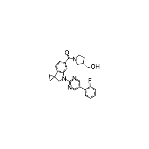 O=C(c1ccc2c(c1)N(c1ncc(-c3ccccc3F)cn1)CC21CC1)N1CC[C@H](CO)C1